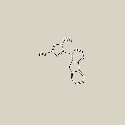 CC1C=C(C(C)(C)C)C=C1c1cccc2c1[CH]c1ccccc1-2